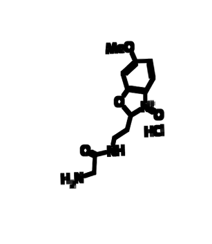 COc1ccc2c(c1)OC(CCNC(=O)CN)[N+]2=O.Cl